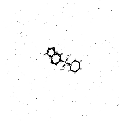 O=S(=O)(c1ccc2[nH]ccc2c1)N1CCCCC1